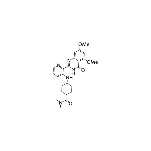 COc1cc(OC)c2c(=O)[nH]c(-c3ncccc3N[C@H]3CC[C@@H](C(=O)N(C)C)CC3)nc2c1